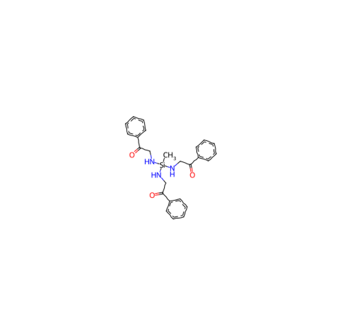 C[Si](NCC(=O)c1ccccc1)(NCC(=O)c1ccccc1)NCC(=O)c1ccccc1